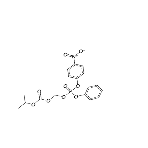 CC(C)OC(=O)OCOP(=O)(Oc1ccccc1)Oc1ccc([N+](=O)[O-])cc1